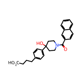 O=C(O)CCCc1ccc(C2(O)CCN(C(=O)c3ccc4ccccc4c3)CC2)cc1